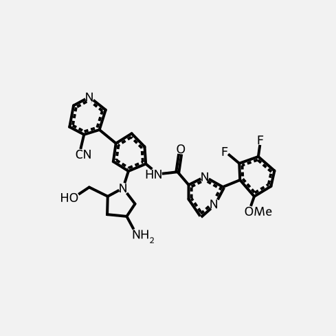 COc1ccc(F)c(F)c1-c1nccc(C(=O)Nc2ccc(-c3cnccc3C#N)cc2N2CC(N)CC2CO)n1